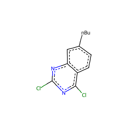 CCCCc1ccc2c(Cl)nc(Cl)nc2c1